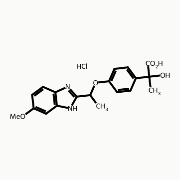 COc1ccc2nc(C(C)Oc3ccc(C(C)(O)C(=O)O)cc3)[nH]c2c1.Cl